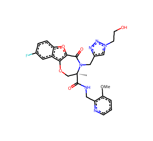 COc1cccnc1CNC(=O)[C@@]1(C)COc2c(oc3ccc(F)cc23)C(=O)N1Cc1cn(CCO)nn1